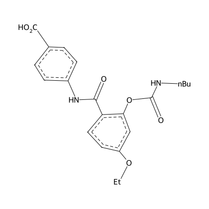 CCCCNC(=O)Oc1cc(OCC)ccc1C(=O)Nc1ccc(C(=O)O)cc1